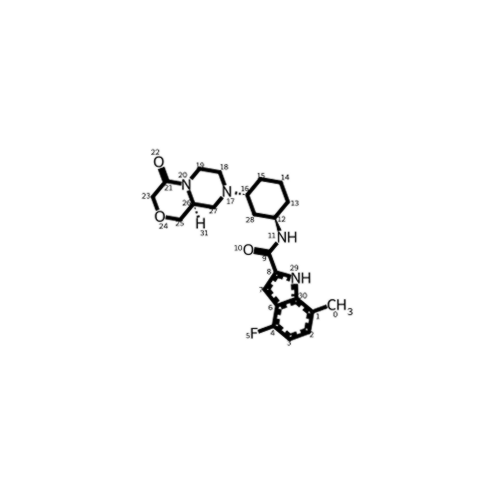 Cc1ccc(F)c2cc(C(=O)N[C@@H]3CCC[C@@H](N4CCN5C(=O)COC[C@@H]5C4)C3)[nH]c12